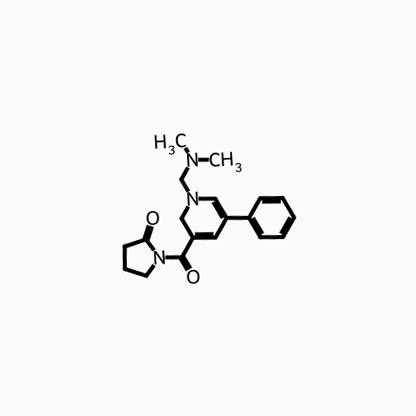 CN(C)CN1C=C(c2ccccc2)C=C(C(=O)N2CCCC2=O)C1